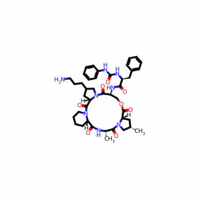 C[C@H]1C[C@H]2C(=O)OC[C@H](NC(=O)[C@H](Cc3ccccc3)NC(=O)Nc3ccccc3)C(=O)N3CC(CCCN)C[C@H]3C(=O)N3CCCC[C@H]3C(=O)N[C@@H](C)C(=O)N2C1